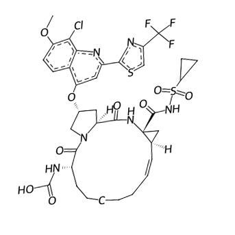 COc1ccc2c(O[C@@H]3C[C@H]4C(=O)N[C@]5(C(=O)NS(=O)(=O)C6CC6)C[C@H]5C=CCCCCC[C@H](NC(=O)O)C(=O)N4C3)cc(-c3nc(C(F)(F)F)cs3)nc2c1Cl